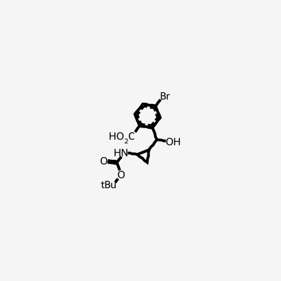 CC(C)(C)OC(=O)NC1CC1C(O)c1cc(Br)ccc1C(=O)O